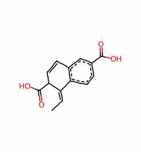 CC=C1c2ccc(C(=O)O)cc2C=CC1C(=O)O